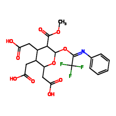 COC(=O)C1C(O/C(=N/c2ccccc2)C(F)(F)F)OC(CC(=O)O)C(CC(=O)O)C1CC(=O)O